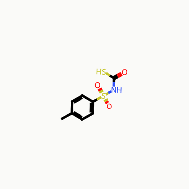 Cc1ccc(S(=O)(=O)NC(=O)S)cc1